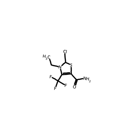 CCN1C(C(F)(F)F)=C(C(N)=O)SC1Cl